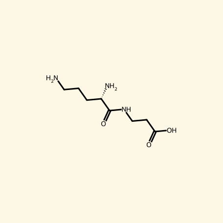 NCCC[C@H](N)C(=O)NCCC(=O)O